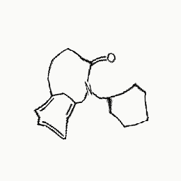 O=C1CCCc2ccccc2N1C1CCCCC1